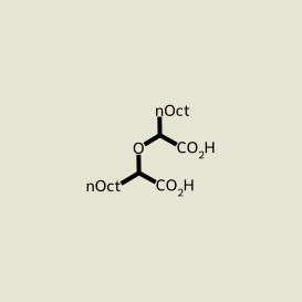 CCCCCCCCC(OC(CCCCCCCC)C(=O)O)C(=O)O